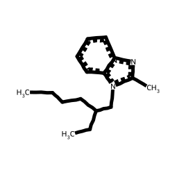 CCCCC(CC)Cn1c(C)nc2ccccc21